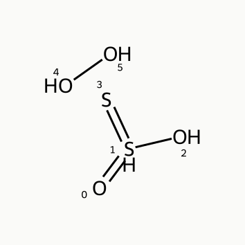 O=[SH](O)=S.OO